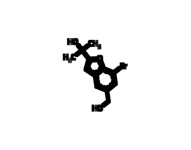 CC(C)(O)c1cc2cc(CO)cc(Br)c2o1